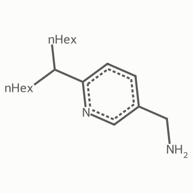 CCCCCCC(CCCCCC)c1ccc(CN)cn1